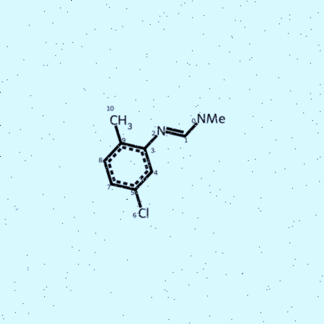 CNC=Nc1cc(Cl)ccc1C